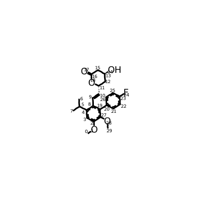 COc1cc(C(C)C)c(C=C[C@H]2C[C@H](O)CC(=O)O2)c(-c2ccc(F)cc2)c1OC